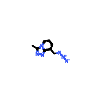 Cc1nnc2c(CN=[N+]=[N-])cccn12